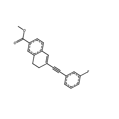 COC(=O)c1ccc2c(c1)CCC(C#Cc1cccc(F)c1)=C2